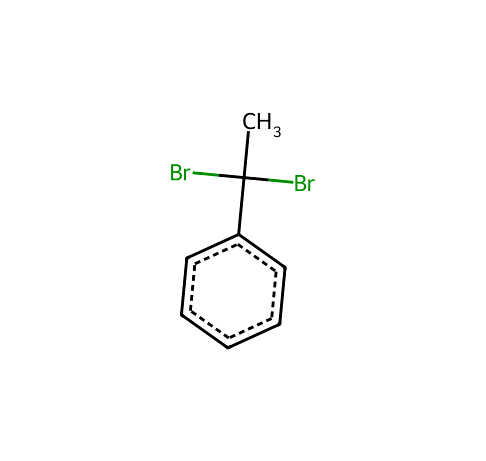 CC(Br)(Br)c1ccccc1